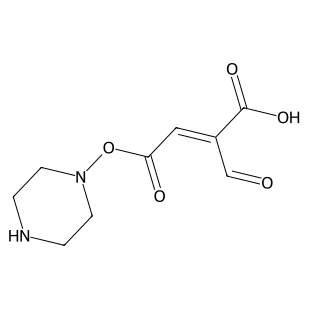 O=C/C(=C\C(=O)ON1CCNCC1)C(=O)O